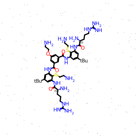 CC(C)(C)c1cc(NC(=O)c2cc(OCCN)cc(C(=O)Nc3cc(C(C)(C)C)cc(NC(=O)[C@@H](N)CCCNC(=N)N)c3SCCN)c2)c(SCCN)c(NC(=O)[C@@H](N)CCCNC(=N)N)c1